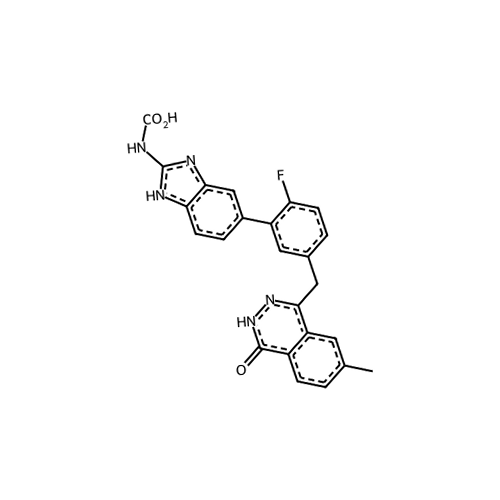 Cc1ccc2c(=O)[nH]nc(Cc3ccc(F)c(-c4ccc5[nH]c(NC(=O)O)nc5c4)c3)c2c1